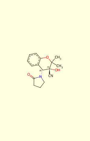 CC1(C)Oc2ccccc2[C@@H](N2CCCC2=O)[C@]1(O)C#N